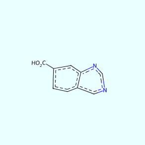 O=C(O)c1ccc2cncnc2c1